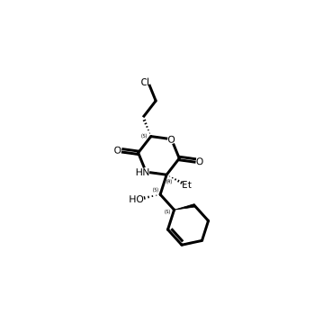 CC[C@]1([C@@H](O)[C@@H]2C=CCCC2)NC(=O)[C@H](CCCl)OC1=O